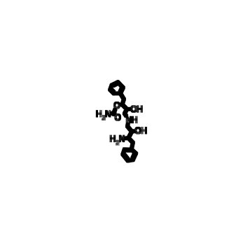 NC(=O)OC(Cc1ccccc1)C(O)CNCC(O)C(N)Cc1ccccc1